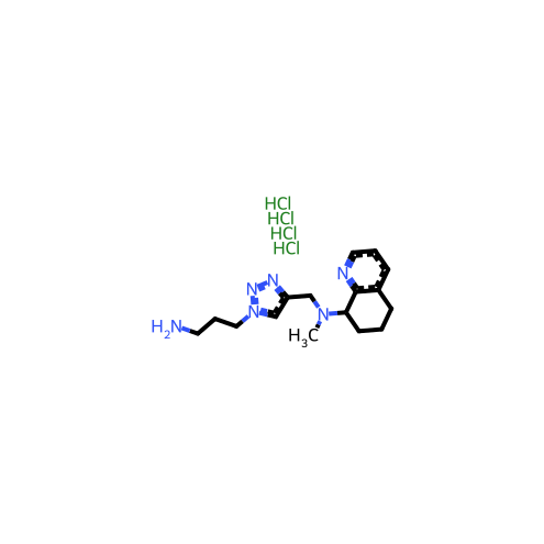 CN(Cc1cn(CCCN)nn1)C1CCCc2cccnc21.Cl.Cl.Cl.Cl